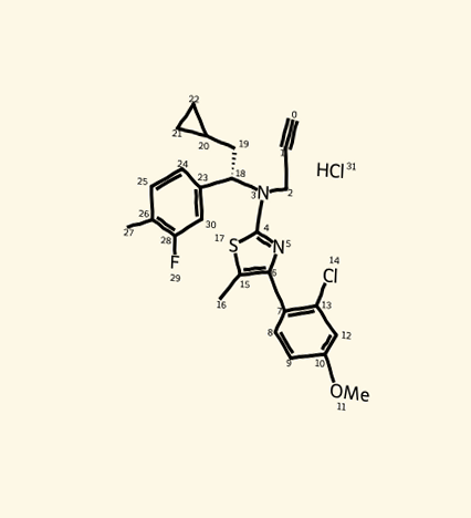 C#CCN(c1nc(-c2ccc(OC)cc2Cl)c(C)s1)[C@@H](CC1CC1)c1ccc(C)c(F)c1.Cl